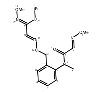 CON=CC(=O)N(C)c1ccccc1CON=CC(=NOC)OC(C)C